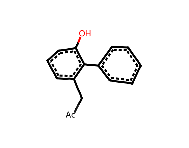 CC(=O)Cc1cccc(O)c1-c1ccccc1